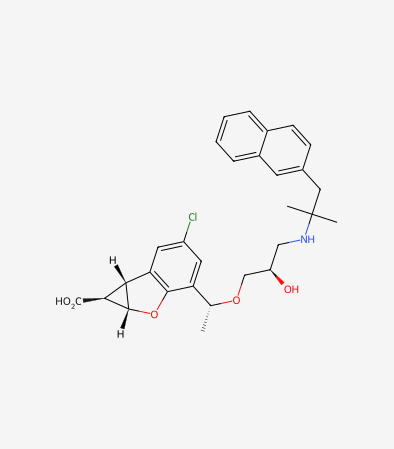 C[C@@H](OC[C@H](O)CNC(C)(C)Cc1ccc2ccccc2c1)c1cc(Cl)cc2c1O[C@@H]1[C@@H](C(=O)O)[C@H]21